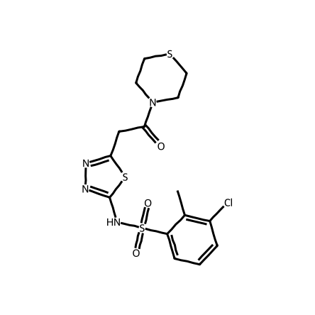 Cc1c(Cl)cccc1S(=O)(=O)Nc1nnc(CC(=O)N2CCSCC2)s1